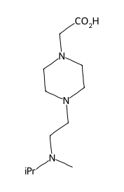 CC(C)N(C)CCN1CCN(CC(=O)O)CC1